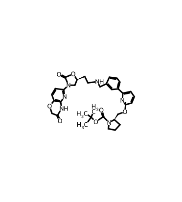 CC(C)(C)OC(=O)N1CCC[C@@H]1COc1cccc(-c2cccc(CNCC[C@H]3CN(c4ccc5c(n4)NC(=O)CO5)C(=O)O3)c2)n1